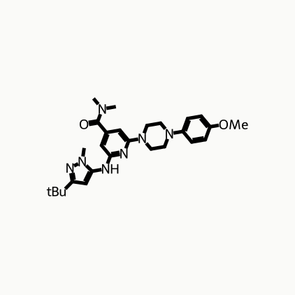 COc1ccc(N2CCN(c3cc(C(=O)N(C)C)cc(Nc4cc(C(C)(C)C)nn4C)n3)CC2)cc1